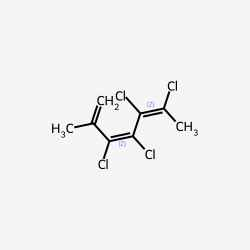 C=C(C)/C(Cl)=C(Cl)\C(Cl)=C(/C)Cl